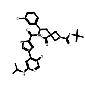 CC(C)Nc1cc(-c2c[nH]c(C(=O)NC(CC3(C(=O)O)CN(C(=O)OC(C)(C)C)C3)c3cccc(Cl)c3)c2)c(Cl)cn1